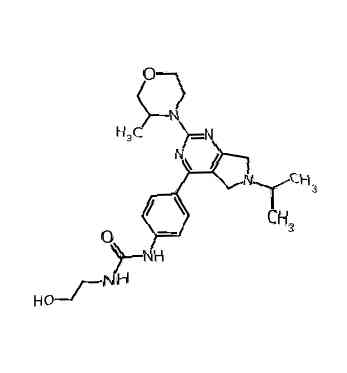 CC(C)N1Cc2nc(N3CCOCC3C)nc(-c3ccc(NC(=O)NCCO)cc3)c2C1